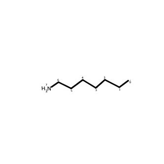 [CH2]CC[CH]CCCN